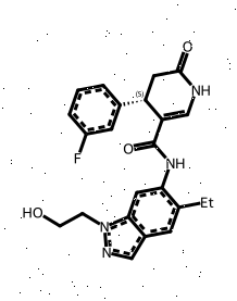 CCc1cc2cnn(CCO)c2cc1NC(=O)C1=CNC(=O)C[C@H]1c1cccc(F)c1